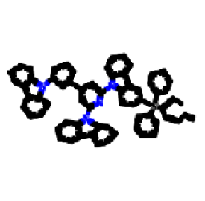 C=C/C=C\C(=C/C)[Si](c1ccccc1)(c1ccccc1)c1ccc2c(c1)c1ccccc1n2-c1cc(-c2cccc(-n3c4ccccc4c4ccccc43)c2)cc(-n2c3ccccc3c3ccccc32)n1